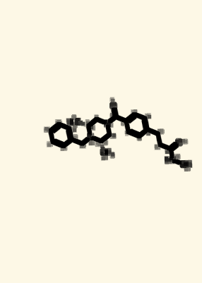 C[C@@H]1CN(C(=O)c2ccc(CCC(=O)NO)cc2)C[C@H](C)N1Cc1ccccc1